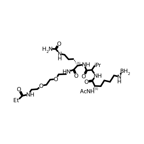 BNCCCC[C@H](NC(C)=O)C(=O)NC(C(=O)N[C@@H](CCCNC(N)=O)C(=O)NCCOCCOCCNC(=O)CC)C(C)C